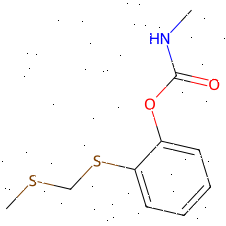 CNC(=O)Oc1ccccc1SCSC